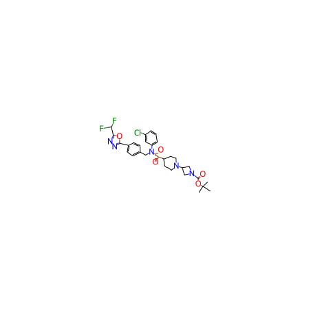 CC(C)(C)OC(=O)N1CC(N2CCC(S(=O)(=O)N(Cc3ccc(-c4nnc(C(F)F)o4)cc3)c3cccc(Cl)c3)CC2)C1